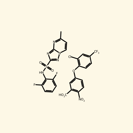 Cc1ccn2nc(S(=O)(=O)Nc3c(F)cccc3F)nc2n1.O=C(O)c1cc(Oc2ccc(C(F)(F)F)cc2Cl)ccc1[N+](=O)[O-]